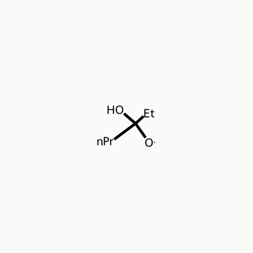 CCCC([O])(O)CC